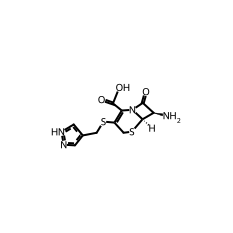 N[C@@H]1C(=O)N2C(C(=O)O)=C(SCc3cn[nH]c3)CS[C@H]12